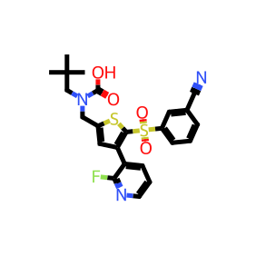 CC(C)(C)CN(Cc1cc(-c2cccnc2F)c(S(=O)(=O)c2cccc(C#N)c2)s1)C(=O)O